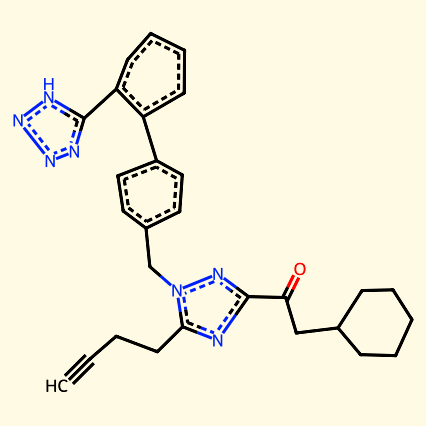 C#CCCc1nc(C(=O)CC2CCCCC2)nn1Cc1ccc(-c2ccccc2-c2nnn[nH]2)cc1